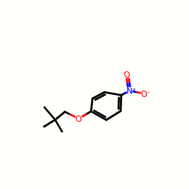 CC(C)(C)COc1ccc([N+](=O)[O-])cc1